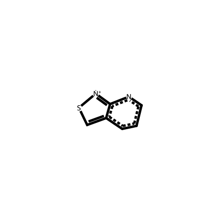 C1=c2cccnc2=[N+]S1